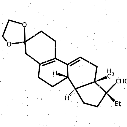 CC[C@@]1(C=O)CC[C@H]2[C@@H]3CCC4=C(CCC5(C4)OCCO5)C3=CC[C@@]21C